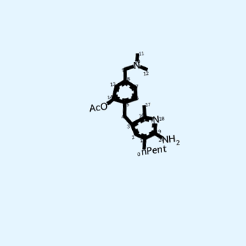 CCCCCc1cc(Cc2ccc(CN(C)C)cc2OC(C)=O)c(C)nc1N